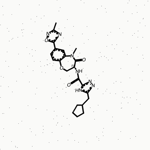 Cc1noc(-c2ccc3c(c2)N(C)C(=O)[C@@H](NC(=O)c2nnc(CC4CCCC4)[nH]2)CO3)n1